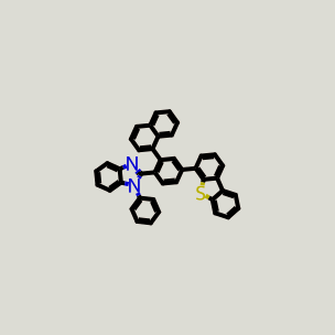 c1ccc(-n2c(-c3ccc(-c4cccc5c4sc4ccccc45)cc3-c3cccc4ccccc34)nc3ccccc32)cc1